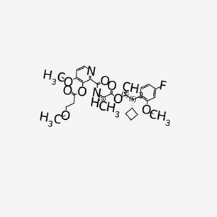 COCCC(=O)Oc1c(OC)ccnc1C(=O)N[C@@H](C)C(=O)O[C@@H](C)[C@H](c1ccc(F)cc1OC)C1CCC1